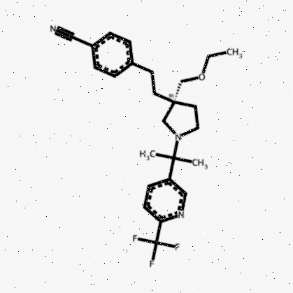 CCOC[C@]1(CCc2ccc(C#N)cc2)CCN(C(C)(C)c2ccc(C(F)(F)F)nc2)C1